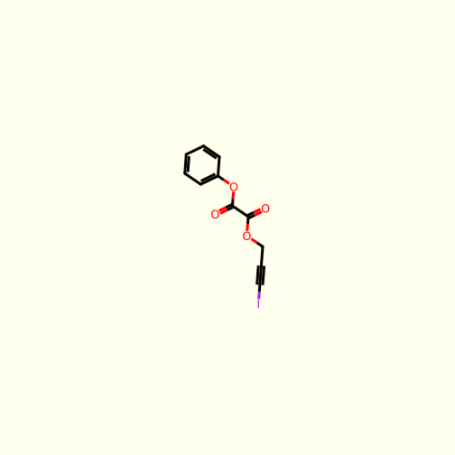 O=C(OCC#CI)C(=O)Oc1ccccc1